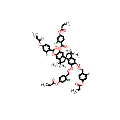 C=CC(=O)Oc1ccc(COOc2cc3c(cc2OOCc2ccc(OC(=O)C=C)cc2F)C2(CC3(C)C)CC(C)(C)c3cc(OC(=O)c4ccc(OC(=O)C=C)cc4F)c(OC(=O)c4ccc(OC(=O)C=C)cc4F)cc32)c(F)c1